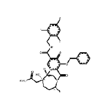 COC(=O)C[C@]1(O)CC[C@H](C)N2C[C@H]1n1cc(C(=O)NCc3c(F)cc(F)cc3F)c(=O)c(OCc3ccccc3)c1C2=O